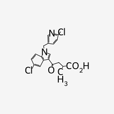 CC(CC(=O)c1cn(Cc2ccc(Cl)nc2)c2ccc(Cl)cc12)C(=O)O